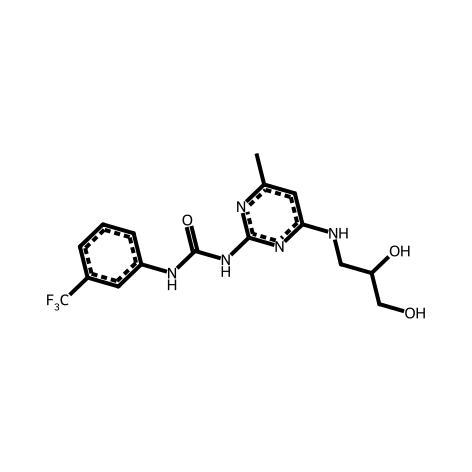 Cc1cc(NCC(O)CO)nc(NC(=O)Nc2cccc(C(F)(F)F)c2)n1